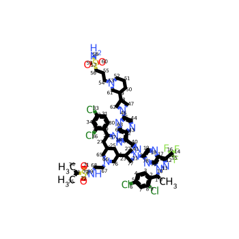 CC(c1ccc(Cl)cc1Cl)n1nc(C(F)(F)F)c2ncc(N3CC(C4CC(CC(c5ccc(Cl)cc5Cl)n5nc(C#N)c6ncc(N7CC(C8CCCN(CCCS(N)(=O)=O)C8)C7)nc65)CN(CCNS(=O)(=O)C(C)C)C4)C3)nc21